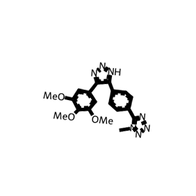 COc1cc(-c2nn[nH]c2-c2ccc(-c3nnnn3C)cc2)cc(OC)c1OC